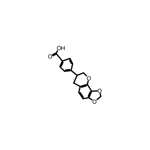 O=C(O)c1ccc(C2COc3c(ccc4c3OCO4)C2)cc1